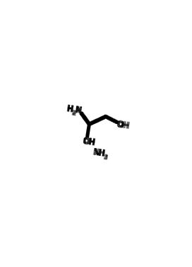 N.NC(O)CO